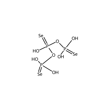 OP(O)(=[Se])OP(O)(=[Se])OP(O)(O)=[Se]